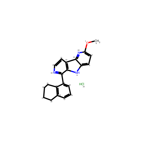 COc1ccc2[nH]c3c(-c4cccc5c4CCCC5)nccc3c2n1.Cl